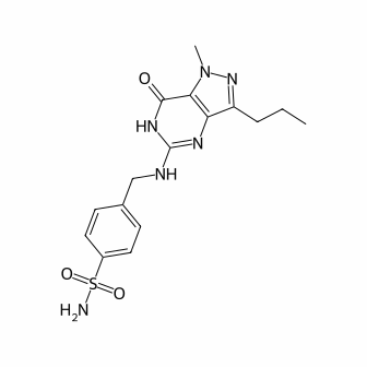 CCCc1nn(C)c2c(=O)[nH]c(NCc3ccc(S(N)(=O)=O)cc3)nc12